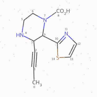 CC#CC1NCCN(C(=O)O)C1c1nccs1